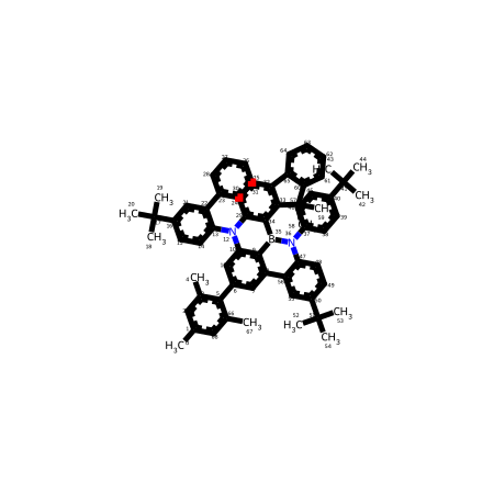 Cc1cc(C)c(-c2cc3c4c(c2)N(c2ccc(C(C)(C)C)cc2-c2ccccc2)c2ccc5c(c2B4N(c2ccc(C(C)(C)C)cc2)c2ccc(C(C)(C)C)cc2-3)C(C)(C)c2ccccc2-5)c(C)c1